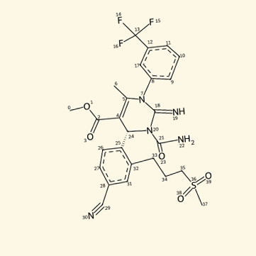 COC(=O)C1=C(C)N(c2cccc(C(F)(F)F)c2)C(=N)N(C(N)=O)[C@@H]1c1ccc(C#N)cc1CCCS(C)(=O)=O